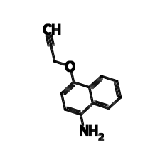 C#CCOc1ccc(N)c2ccccc12